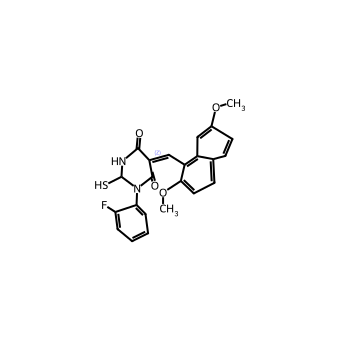 COc1ccc2ccc(OC)c(/C=C3/C(=O)NC(S)N(c4ccccc4F)C3=O)c2c1